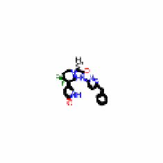 CC(C(=O)Nc1ccc(Cc2ccccc2)nn1)N1CCC(F)(F)C(c2ccc(=O)[nH]c2)C1